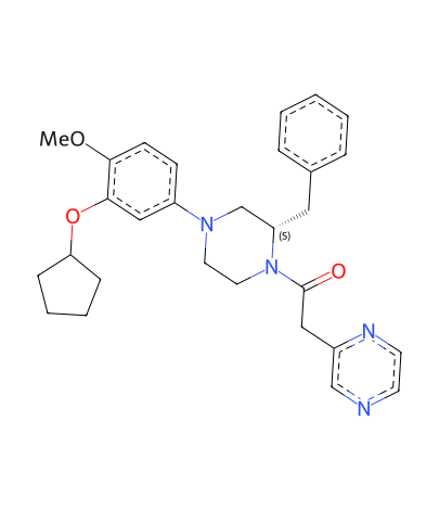 COc1ccc(N2CCN(C(=O)Cc3cnccn3)[C@@H](Cc3ccccc3)C2)cc1OC1CCCC1